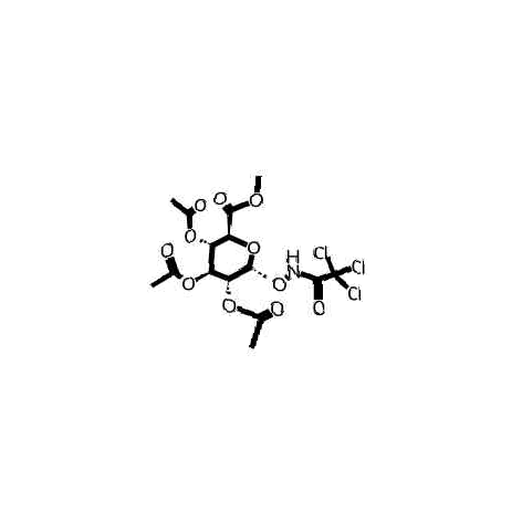 COC(=O)[C@H]1O[C@H](ONC(=O)C(Cl)(Cl)Cl)[C@H](OC(C)=O)[C@@H](OC(C)=O)[C@@H]1OC(C)=O